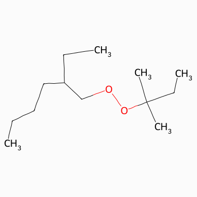 CCCCC(CC)COOC(C)(C)CC